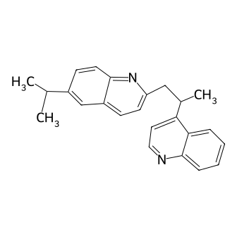 CC(C)c1ccc2nc(CC(C)c3ccnc4ccccc34)ccc2c1